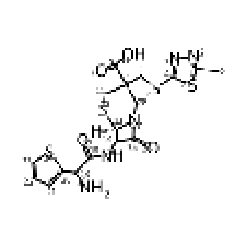 Cc1nnc(SCC2(C(=O)O)CS[C@@H]3C(NC(=O)C(N)c4cccs4)C(=O)N3C2)s1